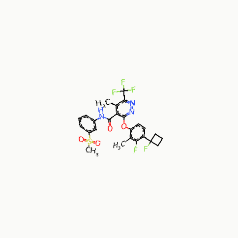 Cc1c(Oc2nnc(C(F)(F)F)c(C)c2C(=O)Nc2cccc(S(C)(=O)=O)c2)ccc(C2(F)CCC2)c1F